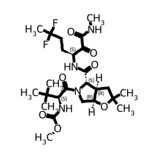 CNC(=O)C(=O)[C@H](CCC(C)(F)F)NC(=O)[C@@H]1[C@H]2CC(C)(C)O[C@H]2CN1C(=O)[C@@H](NC(=O)OC)C(C)(C)C